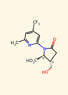 Cc1cc(C(F)(F)F)cc(N2C(=O)C[C@H](CO)[C@H]2C(=O)O)n1